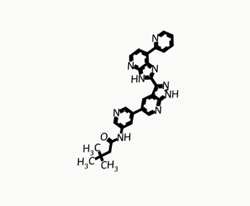 CC(C)(C)CC(=O)Nc1cncc(-c2cnc3[nH]nc(-c4nc5c(-c6ccccn6)ccnc5[nH]4)c3c2)c1